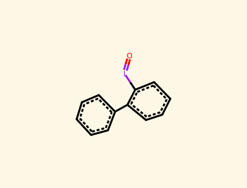 O=Ic1ccccc1-c1ccccc1